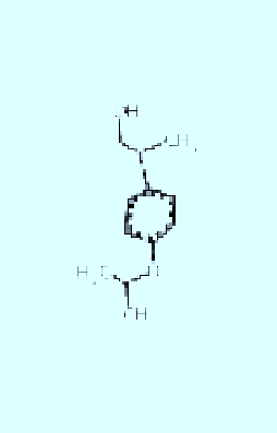 CC(C)Oc1ccc(C(C)CO)cc1